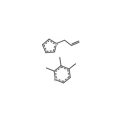 C=CCn1cccc1.Cc1ccnc(C)c1C